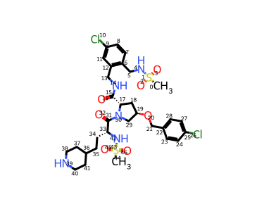 CS(=O)(=O)NCc1ccc(Cl)cc1CNC(=O)[C@@H]1C[C@@H](OCc2ccc(Cl)cc2)CN1C(=O)[C@@H](CCC1CCNCC1)NS(C)(=O)=O